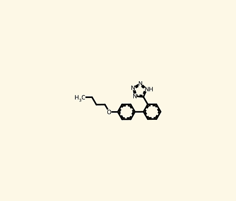 CCCCOc1ccc(-c2ccccc2-c2nnn[nH]2)cc1